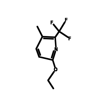 CCOc1ccc(C)c(C(F)(F)F)n1